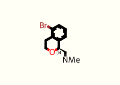 CNC[C@H]1OCCc2c(Br)cccc21